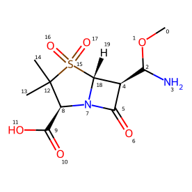 COC(N)[C@H]1C(=O)N2[C@@H](C(=O)O)C(C)(C)S(=O)(=O)[C@H]12